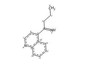 CCCC(=N)c1ccnc2ccccc12